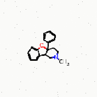 CN1CCC2(c3ccccc3)Oc3ccccc3C2C1